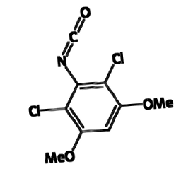 COc1cc(OC)c(Cl)c(N=C=O)c1Cl